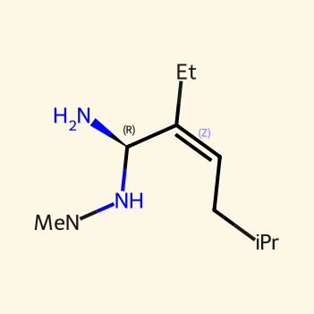 CC/C(=C/CC(C)C)[C@H](N)NNC